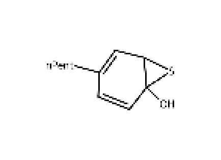 CCCCCC1=CC2SC2(O)C=C1